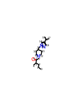 CCCC(C)C(=O)CN1CCC(Cn2cc(C(C)C)cn2)CC1